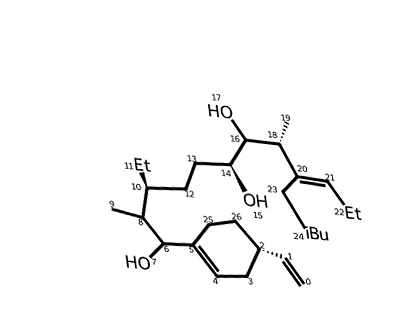 C=C[C@@H]1CC=C(C(O)C(C)[C@@H](CC)CC[C@H](O)C(O)[C@H](C)/C(=C/CC)CC(C)CC)CC1